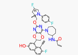 C#Cc1c(F)ccc2cc(O)cc(C3COc4c(nc(OC[C@]5(C)C[C@@H](F)CN5c5ccc(F)cc5)nc4N4CCCCC(NC(=O)C=C)C4)O3)c12